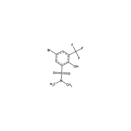 CN(C)S(=O)(=O)c1cc(Br)cc(C(F)(F)F)c1O